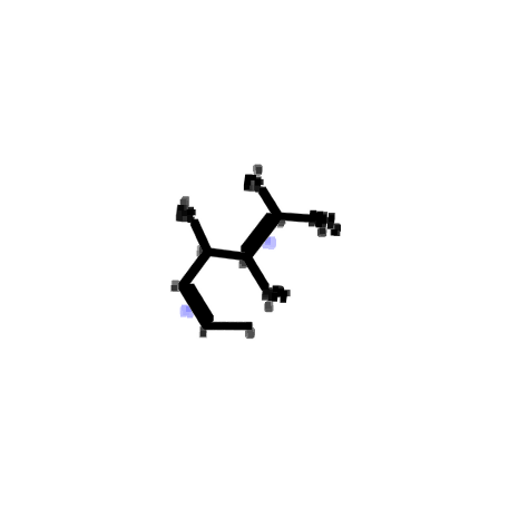 C/C=C\C(CC)/C(CCC)=C(/N)CC